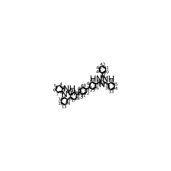 CC1Nc2ccccc2N1c1ccccc1C1=CCC(c2ccc(-c3ccc(C4N=C(c5ccccc5)NC(c5ccccc5)N4)cc3)cc2)C=C1